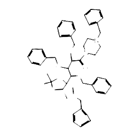 C[C@H]1OC(C)(C)O[C@@]1(COCc1ccccc1)C(OCc1ccccc1)C(OCc1ccccc1)C(OCc1ccccc1)C(=O)N1CCN(Cc2ccccc2)CC1